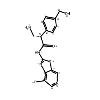 NC[C@@H](C(=O)Nc1nc2c(F)cncc2s1)c1ccc(CO)cc1